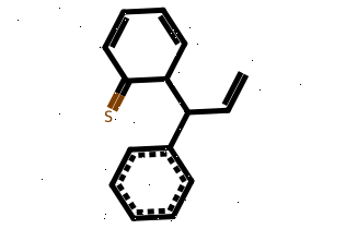 C=CC(c1ccccc1)C1C=CC=[C]C1=S